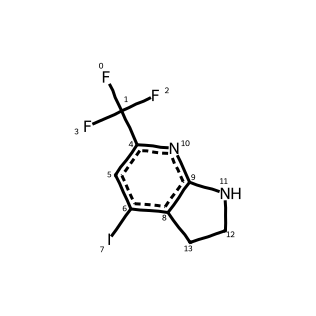 FC(F)(F)c1cc(I)c2c(n1)NCC2